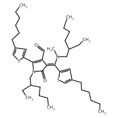 CCCCCCc1csc(C2=C(C=O)/C(=C(/c3cc(CCCCCC)cs3)N(C)CC(CC)CCCC)C(=O)N2CC(CC)CCCC)c1